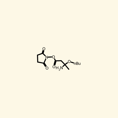 CCCCOC(C)(N)CC(=O)ON1C(=O)CCC1=O